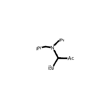 CCC(C)C(C(C)=O)N(C(C)C)C(C)C